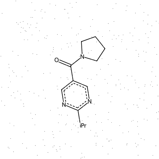 CC(C)c1ncc(C(=O)N2CCCC2)cn1